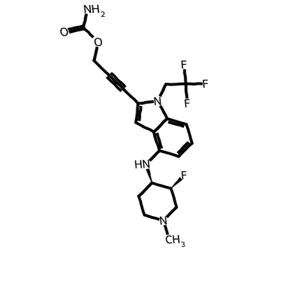 CN1CC[C@@H](Nc2cccc3c2cc(C#CCOC(N)=O)n3CC(F)(F)F)[C@@H](F)C1